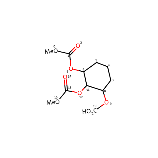 COC(=O)OC1CCCC(OC(=O)O)C1OC(=O)OC